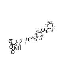 O=C1NC(CCCCCCCCc2ccc(OCc3ccccc3)cc2)C(=O)O1